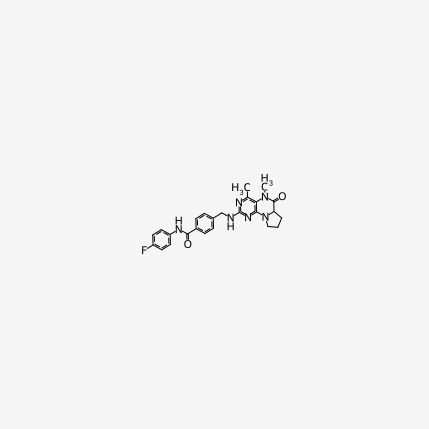 Cc1nc(NCc2ccc(C(=O)Nc3ccc(F)cc3)cc2)nc2c1N(C)C(=O)C1CCCN21